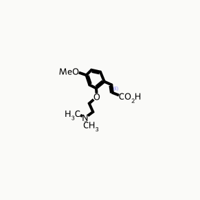 COc1ccc(/C=C/C(=O)O)c(OCCN(C)C)c1